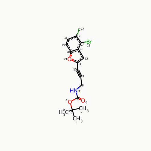 CC(C)(C)OC(=O)NCC#Cc1cc2c(Br)c(F)ccc2o1